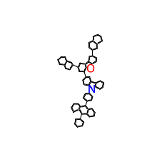 c1ccc(-c2c3ccccc3c(-c3ccc(-n4c5ccccc5c5cc(-c6cc(-c7ccc8ccccc8c7)cc7c6oc6ccc(-c8ccc9ccccc9c8)cc67)ccc54)cc3)c3ccccc23)cc1